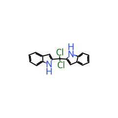 ClC(Cl)(c1cc2ccccc2[nH]1)c1cc2ccccc2[nH]1